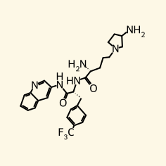 NC1CCN(CCC[C@@H](N)C(=O)N[C@H](Cc2ccc(C(F)(F)F)cc2)C(=O)Nc2cnc3ccccc3c2)C1